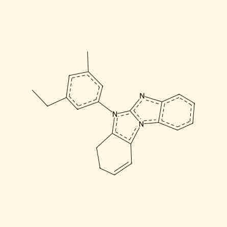 CCc1cc(C)cc(-n2c3c(n4c5ccccc5nc24)C=CCC3)c1